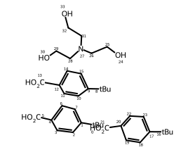 CC(C)(C)c1ccc(C(=O)O)cc1.CC(C)(C)c1ccc(C(=O)O)cc1.CC(C)(C)c1ccc(C(=O)O)cc1.OCCN(CCO)CCO